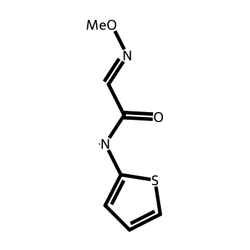 CON=CC(=O)[N]c1cccs1